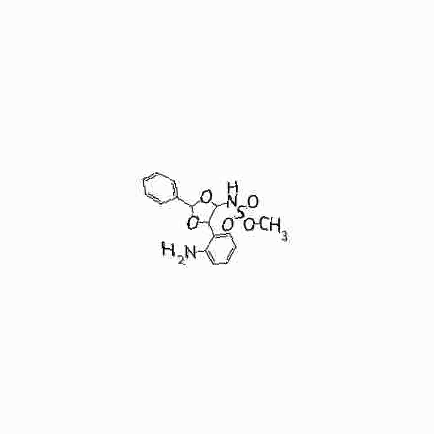 COS(=O)(=O)NC1OC(c2ccccc2)OC1c1ccccc1N